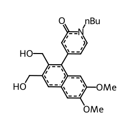 CCCCn1ccc(-c2c(CO)c(CO)cc3cc(OC)c(OC)cc23)cc1=O